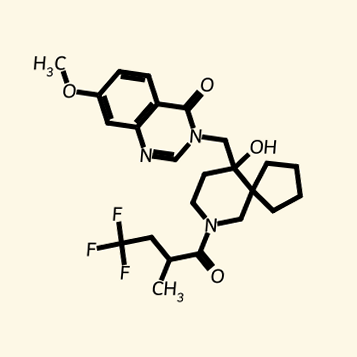 COc1ccc2c(=O)n(CC3(O)CCN(C(=O)C(C)CC(F)(F)F)CC34CCCC4)cnc2c1